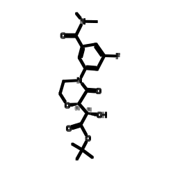 CN(C)C(=O)c1cc(F)cc(N2CCO[C@H]([C@@H](O)C(=O)OC(C)(C)C)C2=O)c1